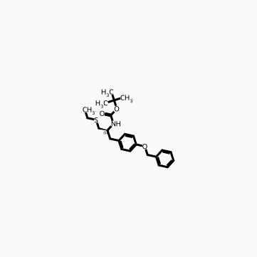 CCSC[C@H](Cc1ccc(OCc2ccccc2)cc1)NC(=O)OC(C)(C)C